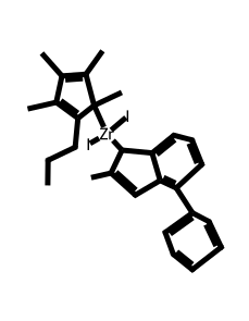 CCCC1=C(C)C(C)=C(C)[C]1(C)[Zr]([I])([I])[CH]1C(C)=Cc2c(-c3ccccc3)cccc21